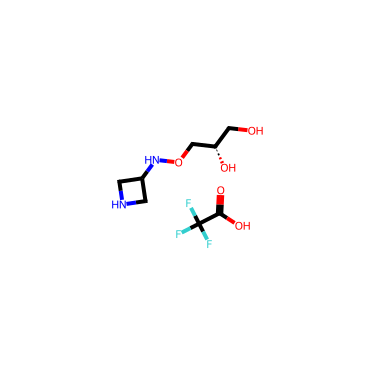 O=C(O)C(F)(F)F.OC[C@H](O)CONC1CNC1